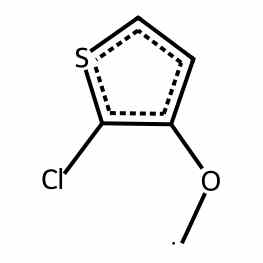 [CH2]Oc1ccsc1Cl